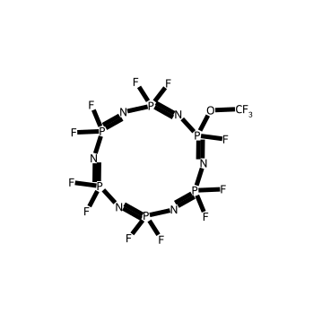 FC(F)(F)OP1(F)=NP(F)(F)=NP(F)(F)=NP(F)(F)=NP(F)(F)=NP(F)(F)=N1